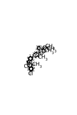 C[C@@H]1CN(c2ccc3cnn([C@H](C)c4ccc(Cl)cc4Cl)c3c2)CCN1C(=O)[C@H]1CCCN1C(=O)OC(C)(C)C